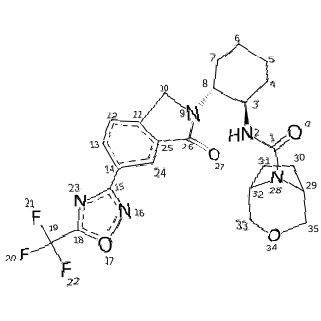 O=C(N[C@@H]1CCCC[C@H]1N1Cc2ccc(-c3noc(C(F)(F)F)n3)cc2C1=O)N1C2CCC1COC2